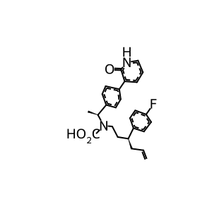 C=CC[C@@H](CCN(C(=O)O)[C@@H](C)c1ccc(-c2ccc[nH]c2=O)cc1)c1ccc(F)cc1